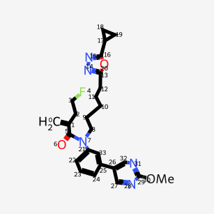 C=C(CCF)C(=O)N(CCCCCc1nnc(C2CC2)o1)c1cccc(-c2cnc(OC)nc2)c1